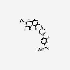 CNC(=O)c1ccc(N2CCN(Cc3ncc4c(c3F)NC(=O)[C@H](C3CC3)O4)CC2)c(F)n1